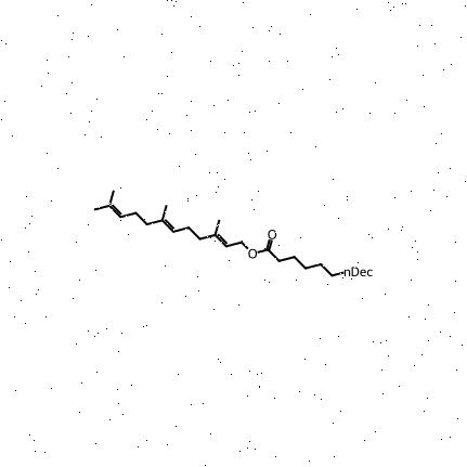 CCCCCCCCCCCCCCCC(=O)OC/C=C(\C)CC/C=C(\C)CCC=C(C)C